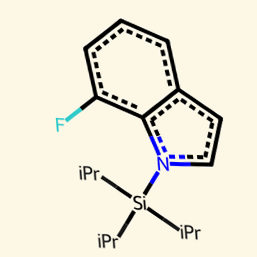 CC(C)[Si](C(C)C)(C(C)C)n1ccc2cccc(F)c21